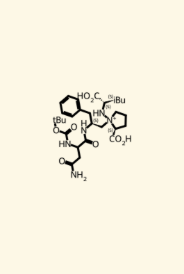 CC[C@H](C)[C@H](N[N+]1(C[C@H](Cc2ccccc2)NC(=O)C(CC(N)=O)NC(=O)OC(C)(C)C)CCC[C@H]1C(=O)O)C(=O)O